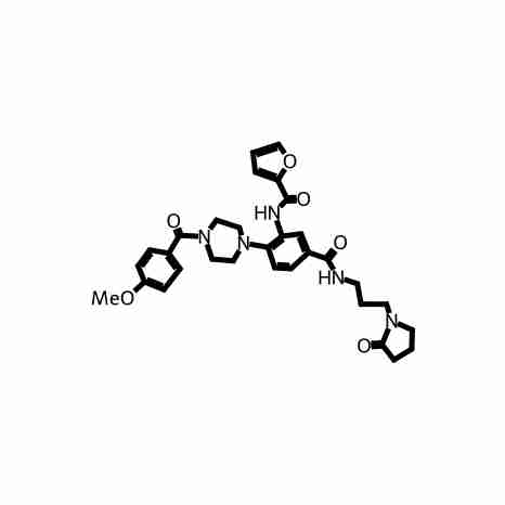 COc1ccc(C(=O)N2CCN(c3ccc(C(=O)NCCCN4CCCC4=O)cc3NC(=O)c3ccco3)CC2)cc1